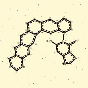 Nc1nc2[nH]cnc2c(=O)n1-c1cccc2cc3ccc4cc5cc6ccccc6cc5cc4c3cc12